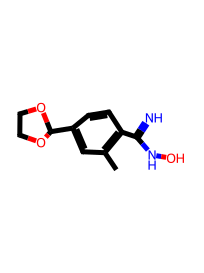 Cc1cc(C2OCCO2)ccc1C(=N)NO